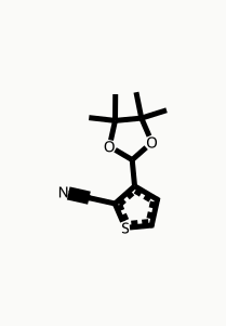 CC1(C)OC(c2ccsc2C#N)OC1(C)C